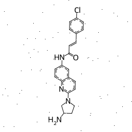 NC1CCN(c2ccc3cc(NC(=O)/C=C/c4ccc(Cl)cc4)ccc3n2)C1